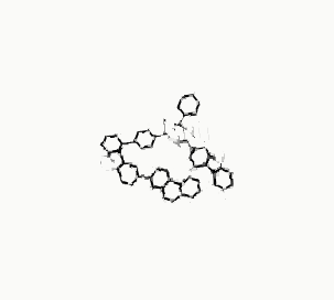 c1ccc(C2=NC(c3ccc(-c4cccc5oc6ccc(-c7ccc8c(ccc9ccccc98)c7)cc6c45)cc3)=NC(c3ccc4c(c3)oc3ccccc34)N2)cc1